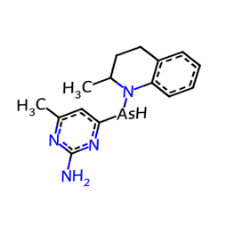 Cc1cc([AsH]N2c3ccccc3CCC2C)nc(N)n1